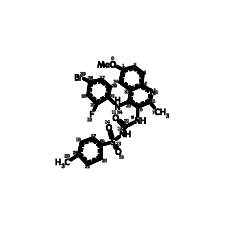 COc1ccc2nc(C)c(NC(=O)NS(=O)(=O)c3ccc(C)cc3)c(Nc3ccc(Br)cc3F)c2c1